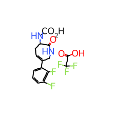 O=C(O)C(F)(F)F.O=C(O)N[C@@H]1CC=C(c2cccc(F)c2F)CNC1=O